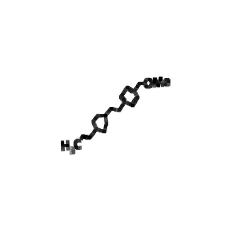 CC=CC1CCC(CCc2ccc(COC)cc2)CC1